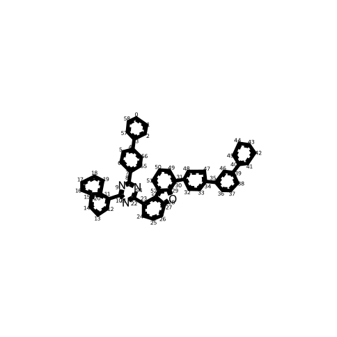 c1ccc(-c2ccc(-c3nc(-c4cccc5ccccc45)nc(-c4cccc5oc6c(-c7ccc(-c8cccc(-c9ccccc9)c8)cc7)cccc6c45)n3)cc2)cc1